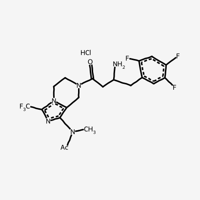 CC(=O)N(C)c1nc(C(F)(F)F)n2c1CN(C(=O)CC(N)Cc1cc(F)c(F)cc1F)CC2.Cl